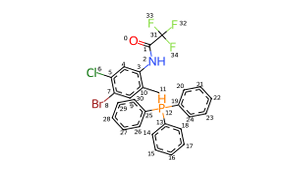 O=C(Nc1cc(Cl)c(Br)cc1C[PH](c1ccccc1)(c1ccccc1)c1ccccc1)C(F)(F)F